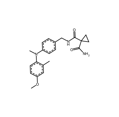 COc1ccc(N(C)c2ccc(CNC(=O)C3(C(N)=O)CC3)cc2)c(C)c1